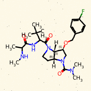 CNC(C)C(=O)NC(C(=O)N1CC[C@@H]2[C@H]1[C@@H](OCc1ccc(F)cc1)CN2C(=O)N(C)C)C(C)(C)C